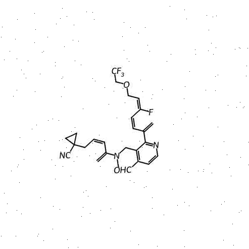 C=C(/C=C\C(F)=C/COCC(F)(F)F)c1nccc(C=O)c1CN(C)C(=C)/C=C\CC1(C#N)CC1